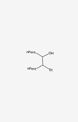 CCCCCC(O)C(CC)CCCCC